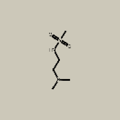 CN(C)CCNS(C)(=O)=O